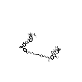 NS(=O)(=O)Cc1nccc(COc2ccc(C3(c4ccc(OCCCCCCCCOCCCCNc5ccc6c(c5)C(=O)N(C5CCC(=O)NC5=O)C6=O)cc4)CCC3)cc2)n1